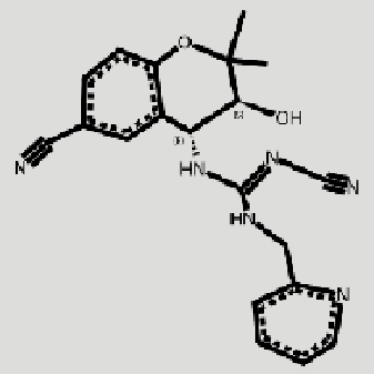 CC1(C)Oc2ccc(C#N)cc2[C@@H](NC(=NC#N)NCc2ccccn2)[C@@H]1O